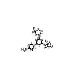 Nc1ncc(-c2cc(N3CC4OC[C@H]43)nc(N3CCCC(F)(F)C3)n2)cn1